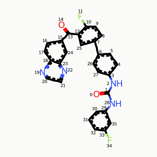 O=C(Nc1ccc(-c2ccc(F)c(C(=O)c3ccc4nccnc4c3)c2)cc1)Nc1cccc(F)c1